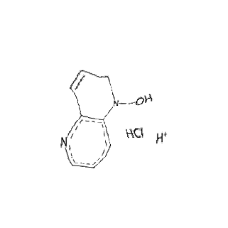 Cl.ON1CC=Cc2ncccc21.[H+]